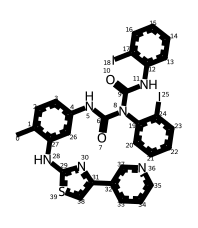 Cc1ccc(NC(=O)N(C(=O)Nc2ccccc2I)c2ccccc2I)cc1Nc1nc(-c2cccnc2)cs1